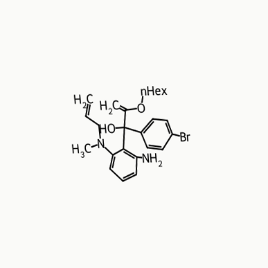 C=CCN(C)c1cccc(N)c1C(O)(C(=C)OCCCCCC)c1ccc(Br)cc1